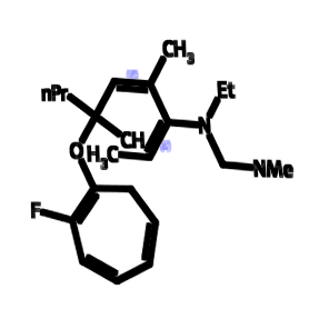 C/C=C(\C(C)=C/C(C)(CCC)OC1=C(F)C=CC=CC1)N(CC)CNC